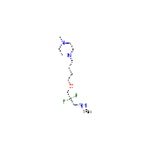 CN1CCN(CCCCOCC(F)(F)CNC(C)(C)C)CC1